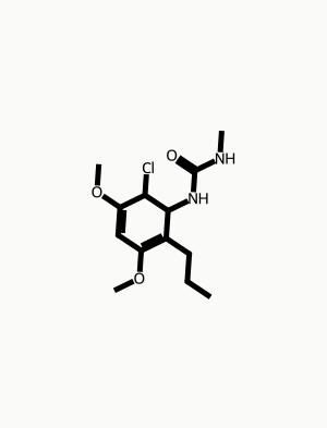 CCCC1=C(OC)C=C(OC)C(Cl)C1NC(=O)NC